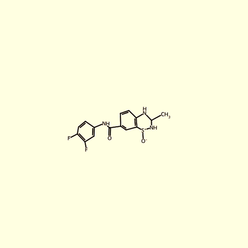 CC1Nc2ccc(C(=O)Nc3ccc(F)c(F)c3)cc2[S+]([O-])N1